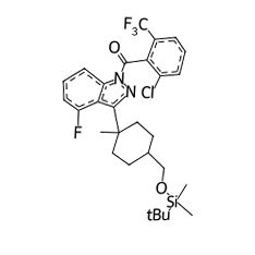 CC1(c2nn(C(=O)c3c(Cl)cccc3C(F)(F)F)c3cccc(F)c23)CCC(CO[Si](C)(C)C(C)(C)C)CC1